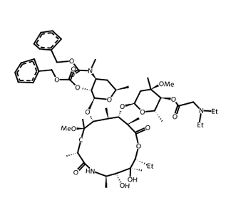 CC[C@H]1OC(=O)[C@H](C)[C@@H](O[C@H]2C[C@@](C)(OC)[C@@H](OC(=O)CN(CC)CC)[C@H](C)O2)[C@H](C)[C@@H](O[C@@H]2O[C@H](C)C[C@H](N(C)C(=O)OCc3ccccc3)[C@H]2OC(=O)OCc2ccccc2)[C@](C)(OC)C[C@@H](C)C(=O)N[C@H](C)[C@@H](O)[C@]1(C)O